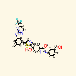 Cc1cc(Nc2nccc(C(F)(F)F)n2)cc(-c2cnc(C3(O)CCC(C(=O)Nc4cccc(CO)c4)CC3)s2)c1